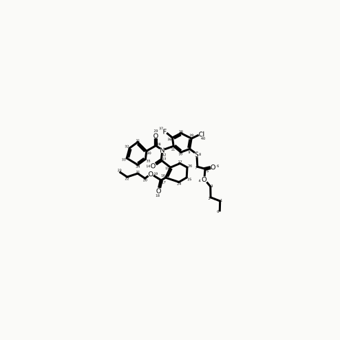 CCCCOC(=O)CSc1cc(N(C(=O)C2=C(C(=O)OCCCC)CCCC2)C(=O)c2ccccc2)c(F)cc1Cl